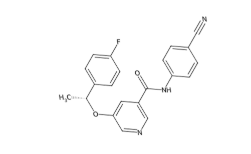 C[C@@H](Oc1cncc(C(=O)Nc2ccc(C#N)cc2)c1)c1ccc(F)cc1